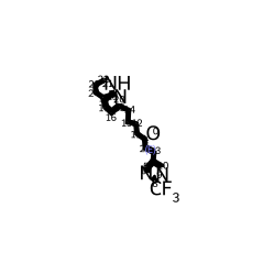 O=C(/C=C/c1cnc(C(F)(F)F)nc1)CCCCc1ccc2c(n1)NCCC2